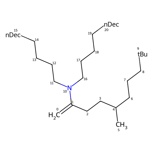 C=C(CCC(C)CCCC(C)(C)C)N(CCCCCCCCCCCCCC)CCCCCCCCCCCCCC